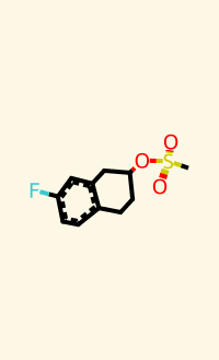 CS(=O)(=O)OC1CCc2ccc(F)cc2C1